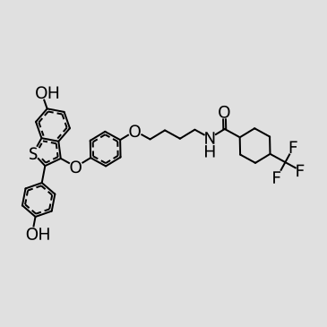 O=C(NCCCCOc1ccc(Oc2c(-c3ccc(O)cc3)sc3cc(O)ccc23)cc1)C1CCC(C(F)(F)F)CC1